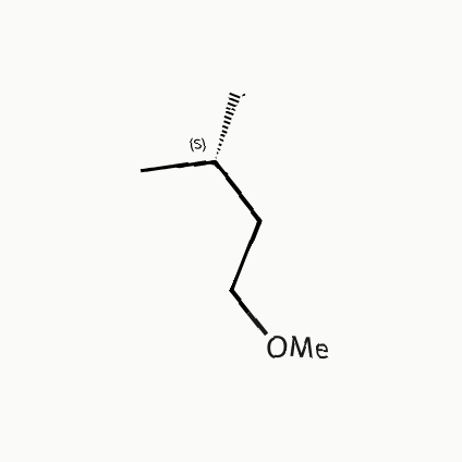 [CH2][C@@H](C)CCOC